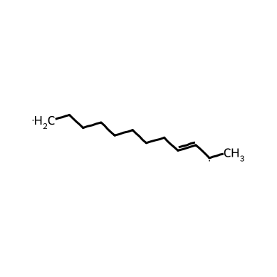 [CH2]CCCCCCCC=C[CH]C